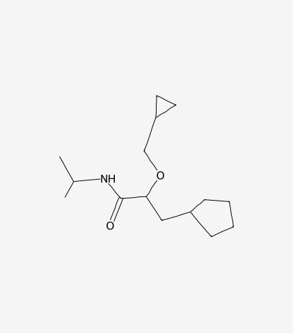 CC(C)NC(=O)C(CC1CCCC1)OCC1CC1